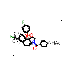 CC(=O)N[C@H]1CC[C@@H](C(=O)N2CC[C@]3(S(=O)(=O)c4ccc(F)cc4)c4ccc(C(F)(C(F)(F)F)C(F)(F)F)cc4CC[C@H]23)CC1